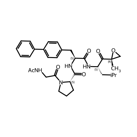 CC(=O)NCC(=O)N1CCC[C@H]1C(=O)N[C@@H](Cc1ccc(-c2ccccc2)cc1)C(=O)N[C@@H](CC(C)C)C(=O)[C@@]1(C)CO1